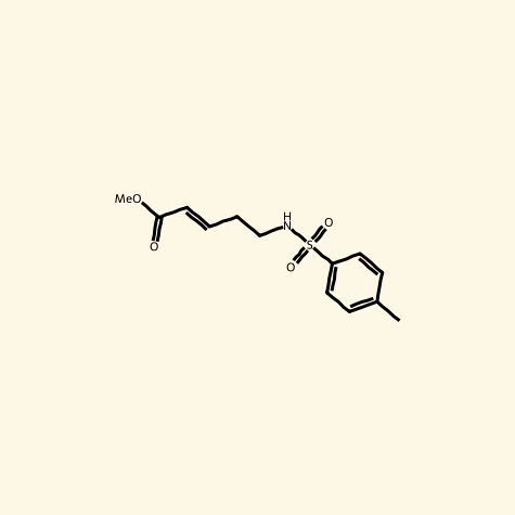 COC(=O)C=CCCNS(=O)(=O)c1ccc(C)cc1